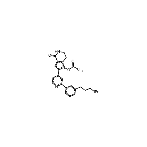 CC(C)CCCc1cccc(-c2cc(-c3cc4c(n3OC(=O)C(F)(F)F)CCNC4=O)ccn2)c1